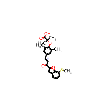 CSc1cccc2cc(C(=O)/C=C/c3cc(C)c(OC(C)(C)C(=O)O)c(C)c3)oc12